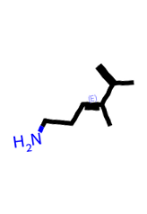 C=C(C)/C(C)=C/CCN